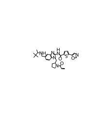 C=CC(=O)N1CCCC1Cn1c(NC(=O)c2ccc(-c3cnco3)s2)nc2cc(CNC(C)C(C)(C)C)ccc21